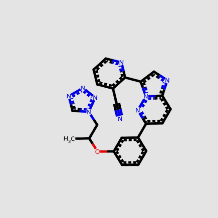 CC(Cn1cnnn1)Oc1cccc(-c2ccc3ncc(-c4ncccc4C#N)n3n2)c1